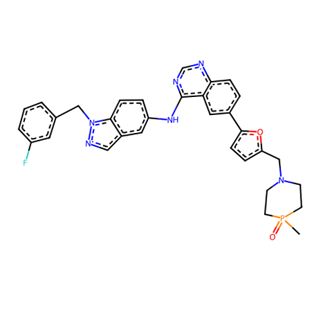 CP1(=O)CCN(Cc2ccc(-c3ccc4ncnc(Nc5ccc6c(cnn6Cc6cccc(F)c6)c5)c4c3)o2)CC1